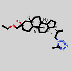 C=C(Cn1nnnc1C)[C@H]1CC[C@H]2[C@@H]3CC[C@H]4C[C@@](O)(COCC)CC[C@@H]4[C@H]3CC[C@]12C